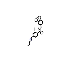 CCC/C=C/c1ccc(C(=O)NCc2ccc3c(c2)OCO3)cc1